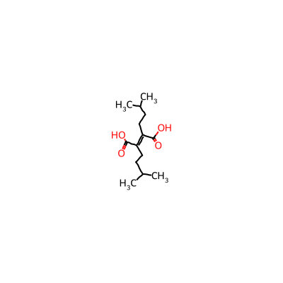 CC(C)CCC(C(=O)O)=C(CCC(C)C)C(=O)O